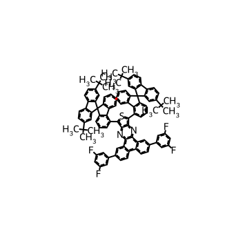 CC(C)(C)c1ccc2c(c1)C1(c3cc(C(C)(C)C)ccc3-2)c2ccccc2-c2c(-c3sc(-c4cccc5c4-c4ccccc4C54c5cc(C(C)(C)C)ccc5-c5ccc(C(C)(C)C)cc54)c4nc5c6cc(-c7cc(F)cc(F)c7)ccc6c6ccc(-c7cc(F)cc(F)c7)cc6c5nc34)cccc21